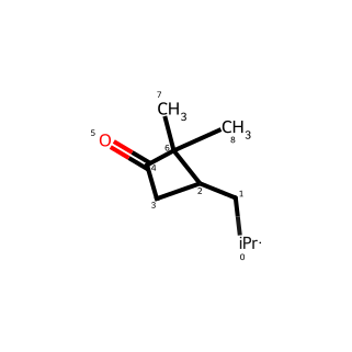 C[C](C)CC1CC(=O)C1(C)C